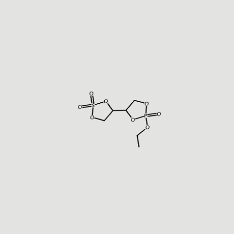 CCOP1(=O)OCC(C2COS(=O)(=O)O2)O1